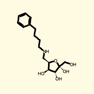 OC[C@]1(O)O[C@H](CNCCCCc2ccccc2)[C@H](O)[C@H]1O